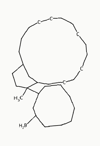 BC1CCCCCCCC(C2(C)CCC3CCCCCCCCCCCCCCC2C3)C1